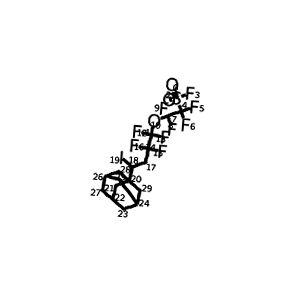 O=S(=O)(F)C(F)(F)C(F)(F)OC(F)(F)C(F)(F)CC(I)C12CC3CC(CC(C3)C1)C2